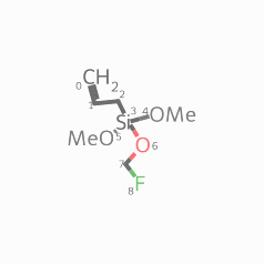 C=CC[Si](OC)(OC)OCF